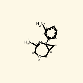 NC1=N[C@]2(c3cccc(N)c3)CC2COC1